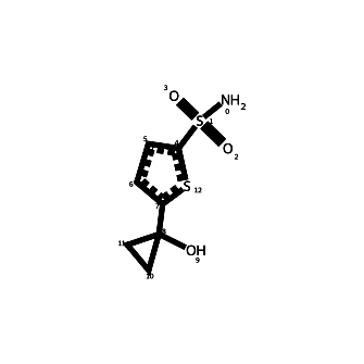 NS(=O)(=O)c1ccc(C2(O)CC2)s1